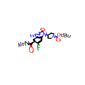 CNC(=O)c1cc2[nH]c(=O)n(C3CCN(C(=O)OC(C)(C)C)CC3)c2cc1F